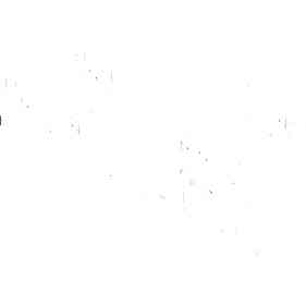 CCN(CC)CCN(CCN(CC)CC)C(=O)c1ccc2c(c1)CC[C@H]1C2=NN(c2ccc(N)c(Cl)c2)[C@H]1c1ccc(F)cc1